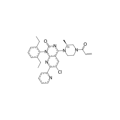 C=CC(=O)N1CCN(c2nc(=O)n(-c3c(CC)cccc3CC)c3nc(-c4ccccn4)c(Cl)cc23)[C@@H](C)C1